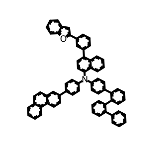 c1ccc(-c2ccccc2-c2ccccc2-c2ccc(N(c3ccc(-c4ccc5c(ccc6ccccc65)c4)cc3)c3ccc(-c4cccc(-c5cc6ccccc6o5)c4)c4ccccc34)cc2)cc1